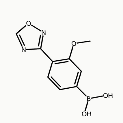 COc1cc(B(O)O)ccc1-c1ncon1